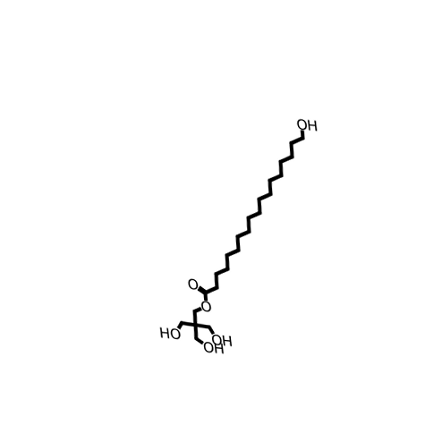 O=C(CCCCCCCCCCCCCCCCCO)OCC(CO)(CO)CO